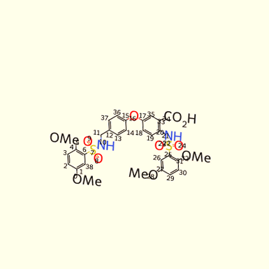 COc1ccc(OC)c(S(=O)(=O)NCc2ccc(Oc3ccc(NS(=O)(=O)c4cc(OC)ccc4OC)c(C(=O)O)c3)cc2)c1